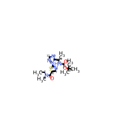 CCN(C)C(=O)c1cnc(-n2ncnc2[C@H](C)NC(=O)OC(C)(C)C)s1